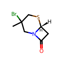 CC1(Br)CS[C@@H]2CC(=O)N2C1